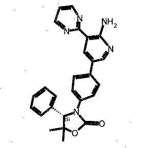 CC1(C)OC(=O)N(c2ccc(-c3cnc(N)c(-c4ncccn4)c3)cc2)[C@H]1c1ccccc1